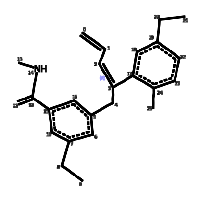 C=C/C=C(/Cc1cc(CC)cc(C(=C)NC)c1)c1cc(CC)ccc1C